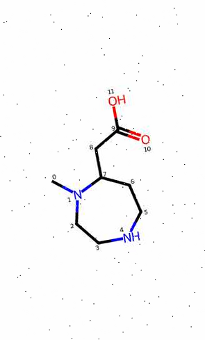 CN1CCNCCC1CC(=O)O